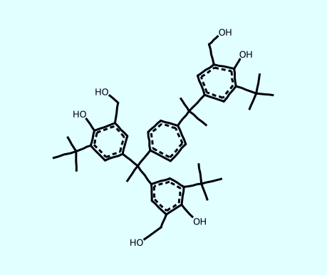 CC(C)(C)c1cc(C(C)(C)c2ccc(C(C)(c3cc(CO)c(O)c(C(C)(C)C)c3)c3cc(CO)c(O)c(C(C)(C)C)c3)cc2)cc(CO)c1O